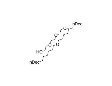 CCCCCCCCCCCCCCCCOCCCCCCCCCCCCCCCC.OCCOCCOCCO